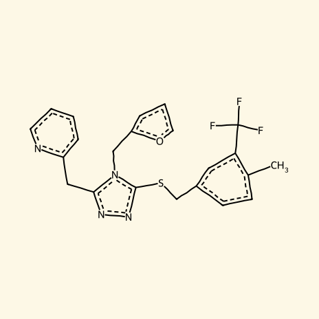 Cc1ccc(CSc2nnc(Cc3ccccn3)n2Cc2ccco2)cc1C(F)(F)F